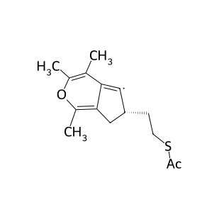 CC(=O)SCC[C@H]1[C]=C2C(C)=C(C)OC(C)=C2C1